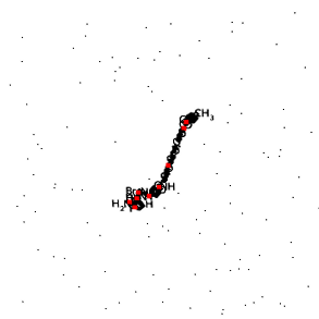 Cc1ccc(S(=O)(=O)OCCOCCOCCOCCOCCOCCOCCNS(=O)(=O)c2ccc(Nc3ncc(Br)c(Nc4cccc(F)c4C(N)=O)n3)cc2)cc1